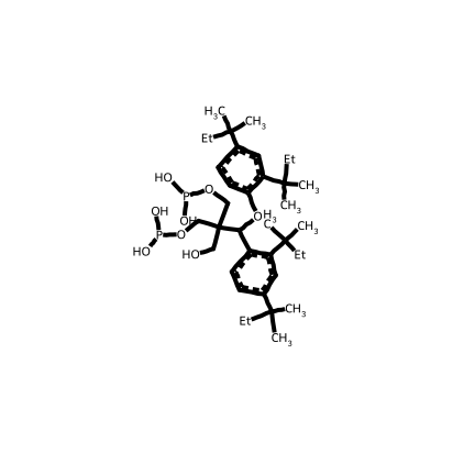 CCC(C)(C)c1ccc(OC(c2ccc(C(C)(C)CC)cc2C(C)(C)CC)C(CO)(COP(O)O)COP(O)O)c(C(C)(C)CC)c1